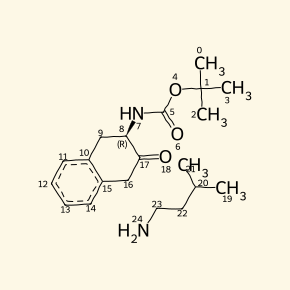 CC(C)(C)OC(=O)N[C@@H]1Cc2ccccc2CC1=O.CC(C)CCN